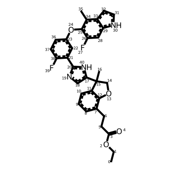 CCOC(=O)CCc1cccc2c1OCC2(C)c1cnc(-c2cc(Oc3c(F)cc4[nH]ccc4c3C)ccc2F)[nH]1